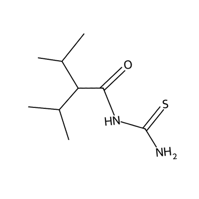 CC(C)C(C(=O)NC(N)=S)C(C)C